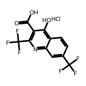 Cl.O=C(O)c1c(C(F)(F)F)nc2cc(C(F)(F)F)ccc2c1O